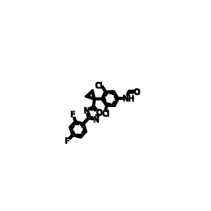 O=CNc1cc(Cl)c(C2(c3nc(-c4ccc(F)cc4F)no3)CC2)c(Cl)c1